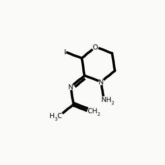 C=C(C)/N=C1/C(I)OCCN1N